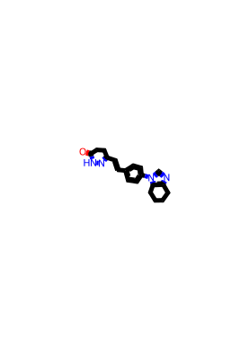 O=C1CCC(/C=C/c2ccc(-n3cnc4c3CCCC4)cc2)=NN1